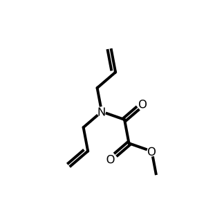 C=CCN(CC=C)C(=O)C(=O)OC